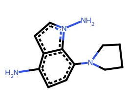 Nc1ccc(N2CCCC2)c2c1ccn2N